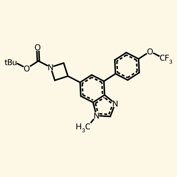 Cn1cnc2c(-c3ccc(OC(F)(F)F)cc3)cc(C3CN(C(=O)OC(C)(C)C)C3)cc21